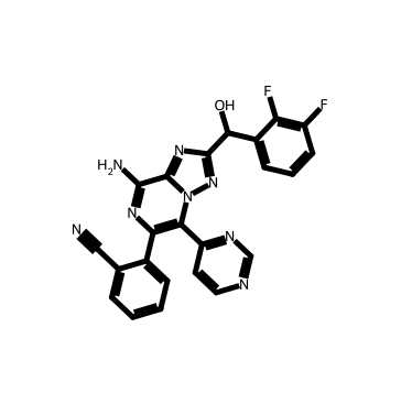 N#Cc1ccccc1-c1nc(N)c2nc(C(O)c3cccc(F)c3F)nn2c1-c1ccncn1